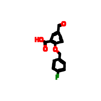 O=Cc1ccc(OCc2ccc(F)cc2)c(C(=O)O)c1